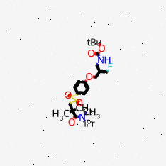 CC(C)N(C)C(=O)C(C)(C)CS(=O)(=O)c1ccc(OC/C(=C/F)CNC(=O)OC(C)(C)C)cc1